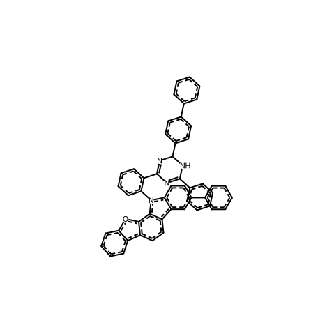 c1ccc(C2=NC(c3ccccc3-n3c4ccc(-c5ccccc5)cc4c4ccc5c6ccccc6oc5c43)=NC(c3ccc(-c4ccccc4)cc3)N2)cc1